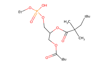 CCOP(=O)(O)OCC(COC(=O)C(C)CC)OC(=O)C(C)(C)CC(C)(C)C